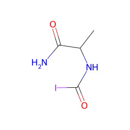 CC(NC(=O)I)C(N)=O